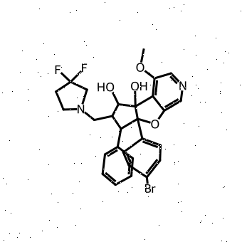 COc1cncc2c1C1(O)C(O)C(CN3CCC(F)(F)C3)C(c3ccccc3)C1(c1ccc(Br)cc1)O2